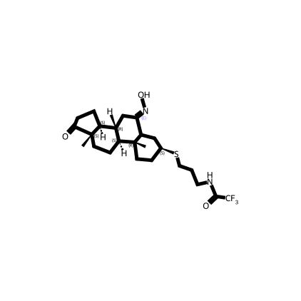 C[C@]12CC[C@H](SCCCNC(=O)C(F)(F)F)CC1/C(=N/O)C[C@@H]1[C@@H]2CC[C@]2(C)C(=O)CC[C@@H]12